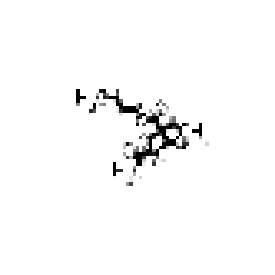 CCCCOC(=O)C(CC)(CCC(C)=O)C(C)=O